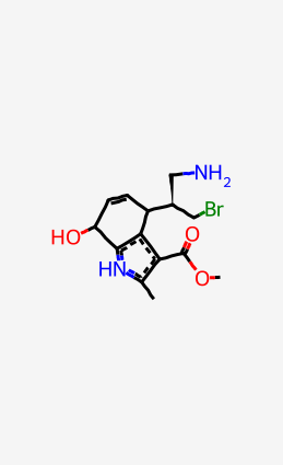 COC(=O)c1c(C)[nH]c2c1C([C@@H](CN)CBr)C=CC2O